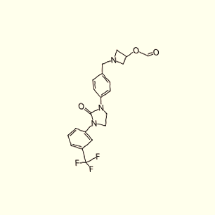 O=COC1CN(Cc2ccc(N3CCN(c4cccc(C(F)(F)F)c4)C3=O)cc2)C1